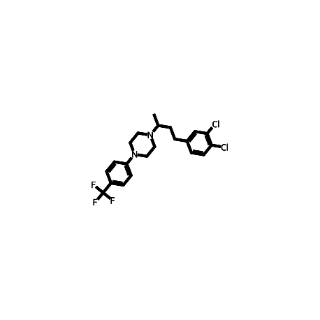 CC(CCc1ccc(Cl)c(Cl)c1)N1CCN(c2ccc(C(F)(F)F)cc2)CC1